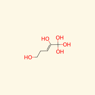 OCCC=C(O)C(O)(O)O